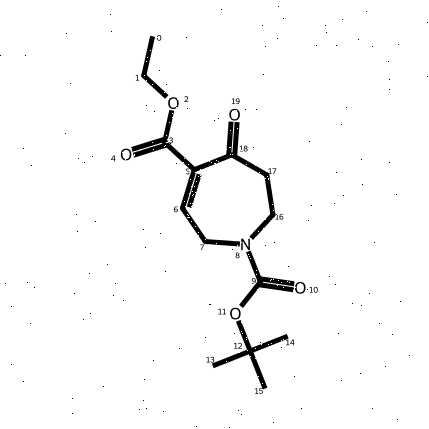 CCOC(=O)C1=CCN(C(=O)OC(C)(C)C)CCC1=O